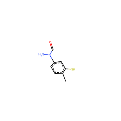 Cc1ccc(N(N)C=O)cc1S